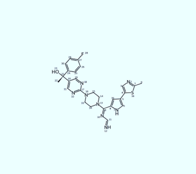 Cc1ncc(-c2c[nH]c(/C(=N\C=N)N3CCN(c4ncc([C@](C)(O)c5ccc(F)cc5)cn4)CC3)c2)s1